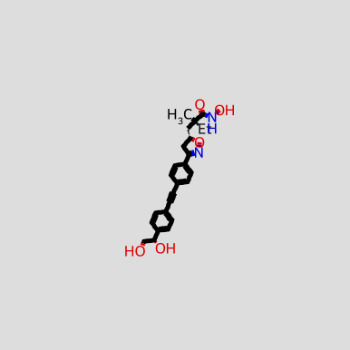 CC[C@](C)(C[C@H]1CC(c2ccc(C#Cc3ccc([C@@H](O)CO)cc3)cc2)=NO1)C(=O)NO